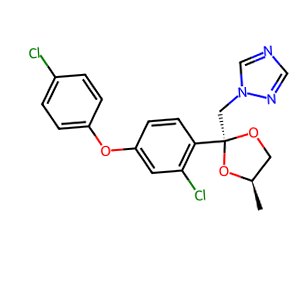 C[C@@H]1CO[C@](Cn2cncn2)(c2ccc(Oc3ccc(Cl)cc3)cc2Cl)O1